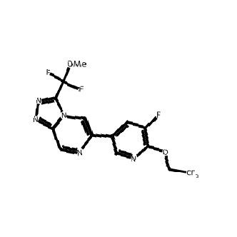 COC(F)(F)c1nnc2cnc(-c3cnc(OCC(F)(F)F)c(F)c3)cn12